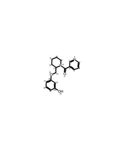 O=C(c1cccnc1)N1CCCCC1COc1cccc(O)c1